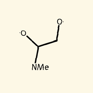 CNC([O])C[O]